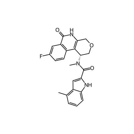 Cc1cccc2[nH]c(C(=O)N(C)[C@H]3COCc4[nH]c(=O)c5cc(F)ccc5c43)cc12